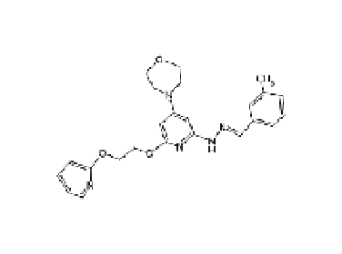 Cc1cccc(C=NNc2cc(N3CCOCC3)cc(OCCOc3ccccn3)n2)c1